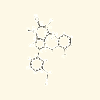 Cc1cccc(F)c1Cn1c(-c2cccc(CF)c2)nc2c1c(=O)n(C)c(=O)n2C